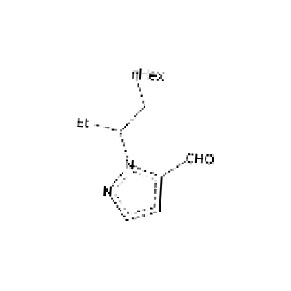 CCCCCCCC(CC)n1nccc1C=O